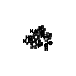 C[C@@](O)(c1ccc(-c2nc(CC(F)(F)CCC(=O)O)n3ccnc(N)c23)cc1)c1cccc(C(F)(F)F)c1